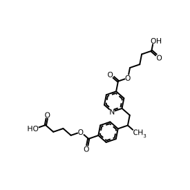 CC(Cc1cc(C(=O)OCCCC(=O)O)ccn1)c1ccc(C(=O)OCCCC(=O)O)cc1